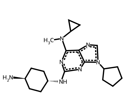 CN(c1nc(N[C@H]2CC[C@H](N)CC2)nc2c1ncn2C1CCCC1)C1CC1